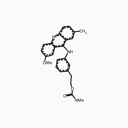 CNC(=O)OCCc1cccc(Nc2c3cc(C)ccc3nc3ccc(OC)cc23)c1